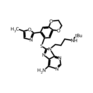 Cc1cnc(-c2cc3c(cc2Sc2nc4c(N)ncnc4n2CCCNC(C)(C)C)OCCO3)o1